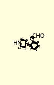 O=COc1ccccc1N1CCNCC1